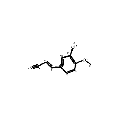 COc1ccc(C=CC#N)cc1O